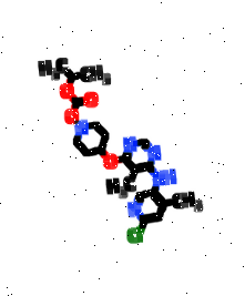 Cc1cc(Cl)ncc1Nc1ncnc(OC2CCN(OC(=O)OC(C)C)CC2)c1C